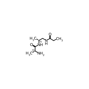 CCC(=O)NC[C@H](C)NC(=O)[C@H](C)N